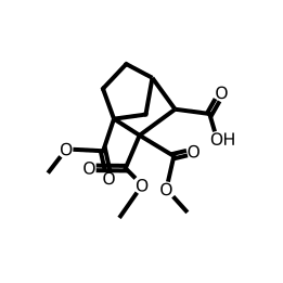 COC(=O)C12CCC(C1)C(C(=O)O)C2(C(=O)OC)C(=O)OC